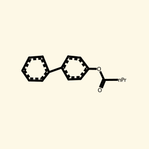 CCCC(=O)Oc1ccc(-c2ccccc2)cc1